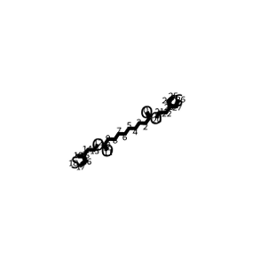 O=C(CCCCCCCCC(=O)OCCc1ccsc1)OCCc1ccsc1